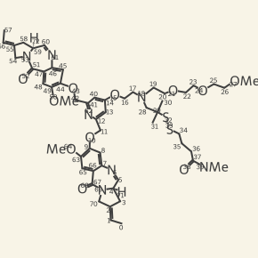 C/C=C1\C[C@H]2C=Nc3cc(OCc4cc(OCCN(CCOCCOCCOC)CC(C)(C)SSCCCC(=O)NC)cc(COc5cc6c(cc5OC)C(=O)N5C/C(=C/C)C[C@H]5C=N6)n4)c(OC)cc3C(=O)N2C1